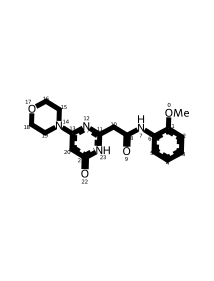 COc1ccccc1NC(=O)Cc1nc(N2CCOCC2)cc(=O)[nH]1